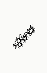 Cc1cnc2c(C(F)(F)F)cccc2c1-c1cccc(Oc2cccc(F)n2)c1